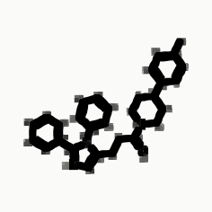 Cc1ccc(C2CCN(C(=O)CCc3cnc(-c4ccccc4)n3-c3ccccc3)CC2)cc1